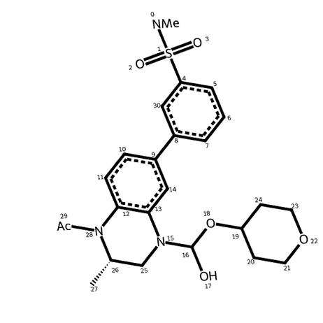 CNS(=O)(=O)c1cccc(-c2ccc3c(c2)N(C(O)OC2CCOCC2)C[C@H](C)N3C(C)=O)c1